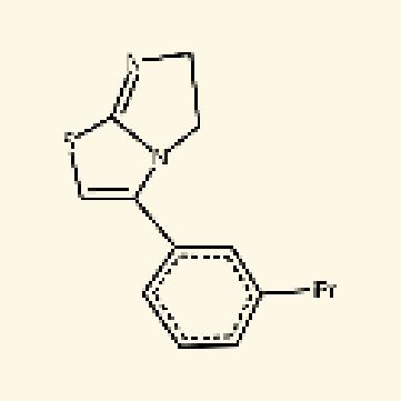 CC(C)c1cccc(C2=CSC3=NCCN23)c1